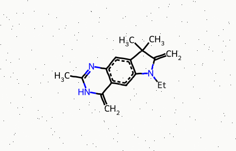 C=C1NC(C)=Nc2cc3c(cc21)N(CC)C(=C)C3(C)C